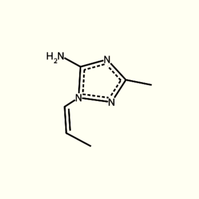 C/C=C\n1nc(C)nc1N